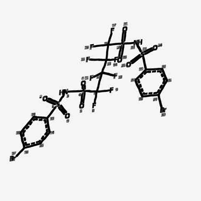 O=S(=O)(NS(=O)(=O)C(F)(F)C(F)(F)C(F)(F)C(F)(F)S(=O)(=O)NS(=O)(=O)c1ccc(Br)cc1)c1ccc(Br)cc1